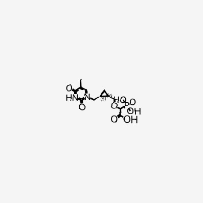 Cc1cn(C[C@H]2C[C@H]2COC(C(=O)O)P(=O)(O)O)c(=O)[nH]c1=O